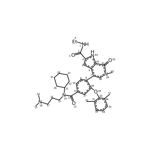 CCNC(=O)c1cc2c(-c3ccc(C(=O)N(CCCN(C)C)C4CCCCC4)cc3Oc3c(C)cccc3C)cn(C)c(=O)c2[nH]1